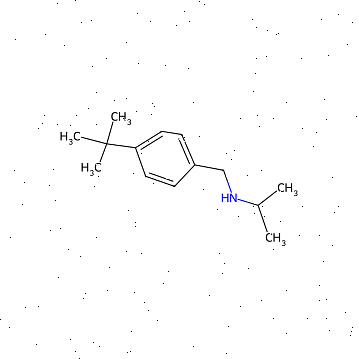 CC(C)NCc1ccc(C(C)(C)C)cc1